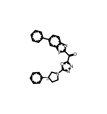 O=C(c1nnc(N2CC[C@@H](c3ccccc3)C2)o1)c1nc2ccc(-c3ccccc3)cc2s1